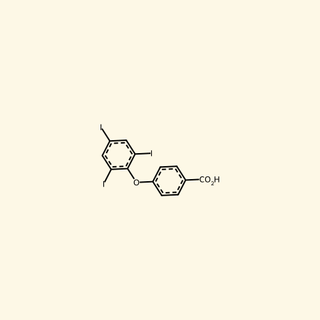 O=C(O)c1ccc(Oc2c(I)cc(I)cc2I)cc1